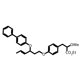 CC=CC(CCOc1ccc(CC(OC)C(=O)OCC)cc1)Oc1ccc(-c2ccccc2)cc1